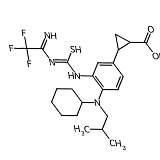 CC(C)CN(c1ccc(C2CC2C(=O)O)cc1N/C(S)=N/C(=N)C(F)(F)F)C1CCCCC1